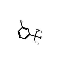 CC(C)(F)c1cccc(Br)c1